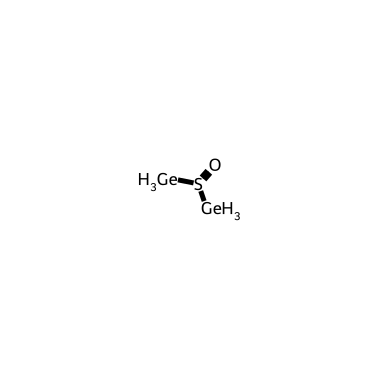 O=[S]([GeH3])[GeH3]